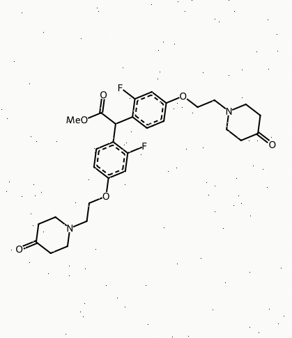 COC(=O)C(c1ccc(OCCN2CCC(=O)CC2)cc1F)c1ccc(OCCN2CCC(=O)CC2)cc1F